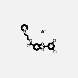 O=C(OCCC[n+]1ccccc1)c1ccc2nc(-c3cc(Cl)cc(Cl)c3)oc2c1.[Br-]